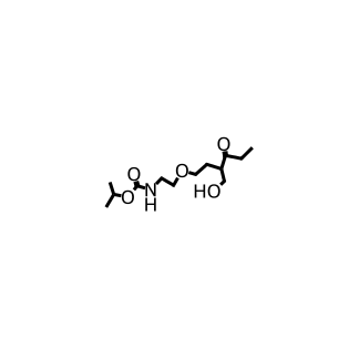 CCC(=O)C(CO)CCOCCNC(=O)OC(C)C